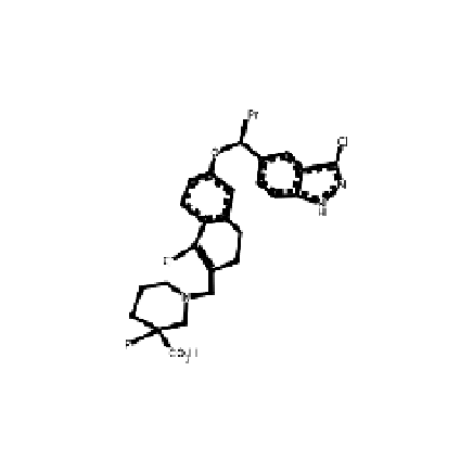 CC(C)C(Oc1ccc2c(c1)CCC(CN1CCCC(F)(C(=O)O)C1)=C2Cl)c1ccc2[nH]nc(Cl)c2c1